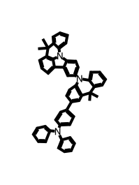 CC1(C)c2ccccc2N(c2ccc3c(c2)c2cccc4c2n3-c2ccccc2C4(C)C)c2ccc(-c3ccc(N(c4ccccc4)c4ccccc4)cc3)cc21